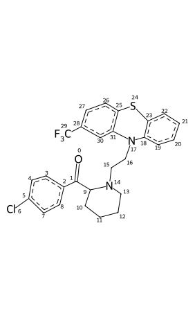 O=C(c1ccc(Cl)cc1)C1CCCCN1CCN1c2ccccc2Sc2ccc(C(F)(F)F)cc21